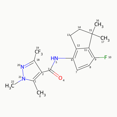 Cc1c(C(=O)Nc2ccc(F)c3c2CCC3(C)C)c(C(F)(F)F)nn1C